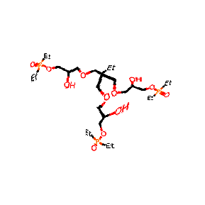 CCC(COCC(O)COP(=O)(CC)CC)(COCC(O)COP(=O)(CC)CC)COCC(O)COP(=O)(CC)CC